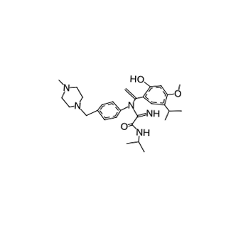 C=C(c1cc(C(C)C)c(OC)cc1O)N(C(=N)C(=O)NC(C)C)c1ccc(CN2CCN(C)CC2)cc1